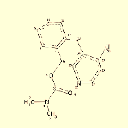 CN(C)C(=O)OCc1ccccc1Cc1cnccc1Cl